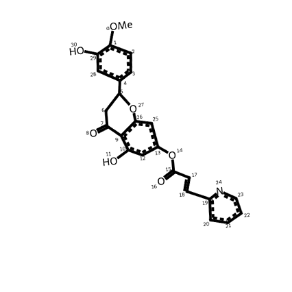 COc1ccc(C2CC(=O)c3c(O)cc(OC(=O)C=Cc4ccccn4)cc3O2)cc1O